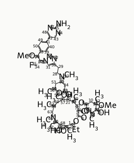 CC[C@H]1OC(=O)[C@H](C)[C@@H](O[C@H]2C[C@@](C)(OC)[C@@H](O)[C@H](C)O2)[C@H](C)[C@@H](O[C@H]2C[C@@H](N(C)CCc3cn([C@H](CF)[C@H](OC)c4ccc(-c5cnc(N)nc5)cc4)nn3)C[C@@H](C)O2)[C@](C)(O)C[C@@H](C)CN(C)[C@H](C)[C@@H](O)[C@]1(C)O